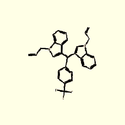 C=CCn1cc(C(c2ccc(C(F)(F)F)cc2)c2cn(CC=C)c3ccccc23)c2ccccc21